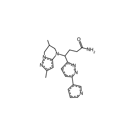 Cc1cc2n(n1)CC(C)CN2C(CCC(N)=O)c1ccc(-c2cccnc2)nn1